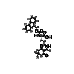 CC(NCCC[C@H](NC(=O)OCC1c2ccccc2-c2ccccc21)C(=O)O)=C1C(=O)CC(C)(C)CC1=O